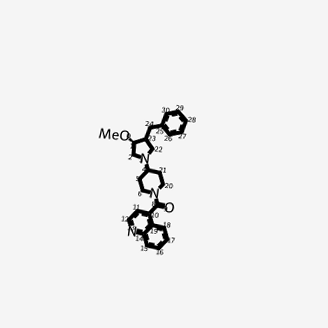 CO[C@@H]1CN(C2CCN(C(=O)c3ccnc4ccccc34)CC2)CC1Cc1ccccc1